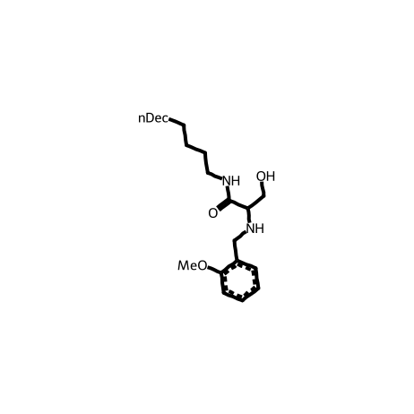 CCCCCCCCCCCCCCNC(=O)C(CO)NCc1ccccc1OC